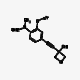 CCCOc1cc(C#CC2(O)COC2)ccc1N(C)C=O